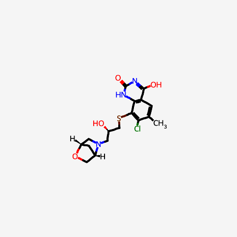 Cc1cc2c(O)nc(=O)[nH]c2c(SC[C@H](O)CN2C[C@@H]3C[C@H]2CO3)c1Cl